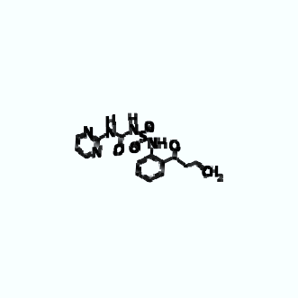 C=CCC(=O)c1ccccc1NS(=O)(=O)NC(=O)Nc1ncccn1